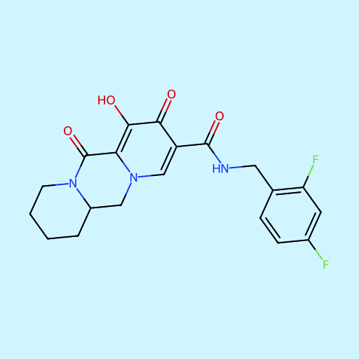 O=C(NCc1ccc(F)cc1F)c1cn2c(c(O)c1=O)C(=O)N1CCCCC1C2